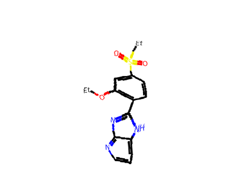 CCOc1cc(S(=O)(=O)CC)ccc1-c1nc2ncccc2[nH]1